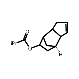 CC(C)C(=O)OC1C[C@H]2CC1C1CC=CC12